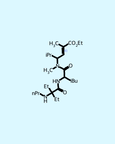 CCCNC(CC)(CC)C(=O)NC(C(=O)N(C)C(/C=C(\C)C(=O)OCC)C(C)C)C(C)CC